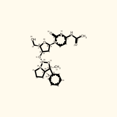 CC(=O)Nc1ccn([C@H]2C[C@@H](O[P@]3O[C@@](C)(c4ccccc4)[C@H]4CCCN43)[C@@H](CO)O2)c(=O)n1